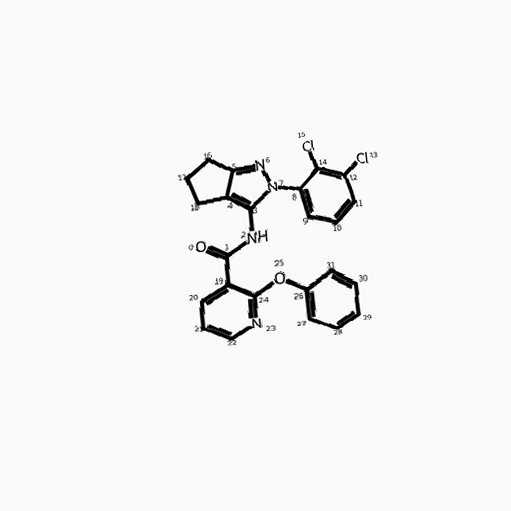 O=C(Nc1c2c(nn1-c1cccc(Cl)c1Cl)CCC2)c1cccnc1Oc1ccccc1